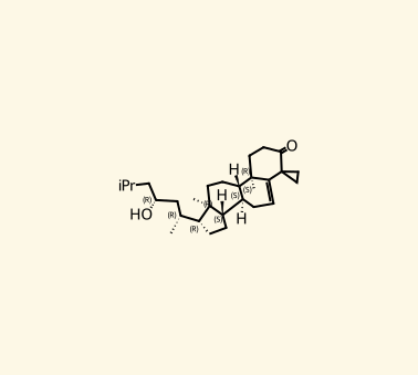 CC(C)C[C@@H](O)C[C@@H](C)[C@H]1CC[C@H]2[C@@H]3CC=C4C5(CC5)C(=O)CC[C@]4(C)[C@H]3CC[C@]12C